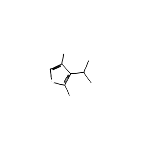 CC(C)c1c(F)c[nH]c1I